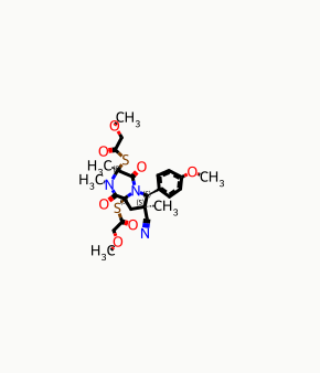 COCC(=O)S[C@@]1(C)C(=O)N2[C@@H](c3ccc(OC)cc3)[C@@](C)(C#N)C[C@]2(SC(=O)COC)C(=O)N1C